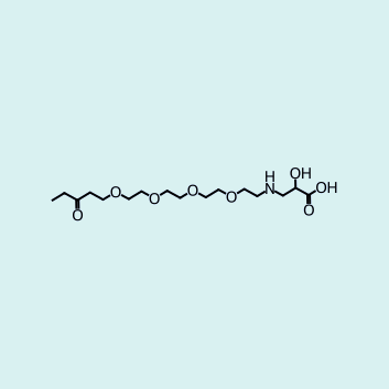 CCC(=O)CCOCCOCCOCCOCCNCC(O)C(=O)O